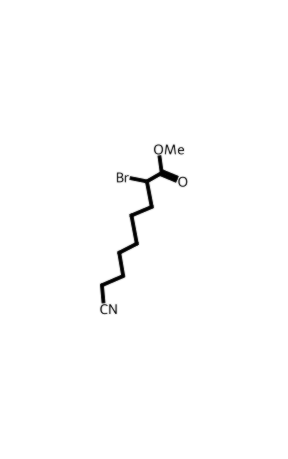 COC(=O)C(Br)CCCCCCC#N